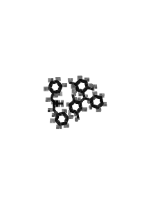 Cc1ccc(C)c(C(c2ccccc2)c2cc(C)ccc2C)c1.c1ccc(CNCc2ccccc2)cc1